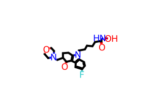 O=C(CCCCCn1c2c(c3cc(F)ccc31)C(=O)C(CN1CCOCC1)CC2)NO